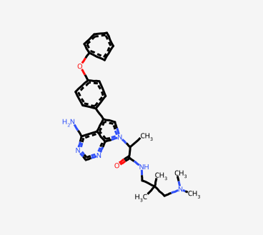 CC(C(=O)NCC(C)(C)CN(C)C)n1cc(-c2ccc(Oc3ccccc3)cc2)c2c(N)ncnc21